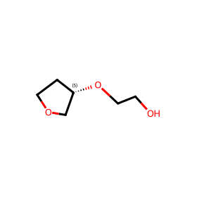 OCCO[C@H]1CCOC1